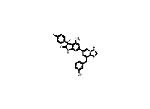 C[C@@]1(c2ccc(F)cc2)C(=O)Nc2nc(C3=CN4NCN=C4C(Cc4cccc(O)c4)=N3)nc(N)c21